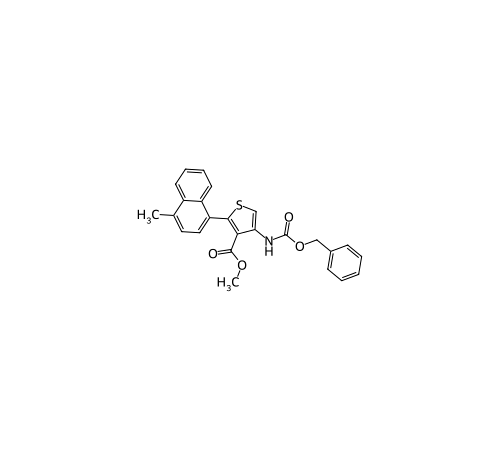 COC(=O)c1c(NC(=O)OCc2ccccc2)csc1-c1ccc(C)c2ccccc12